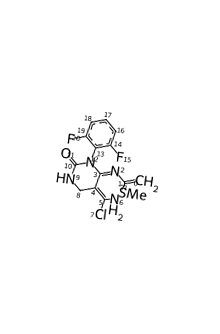 C=C(/N=C1\C(=C(/N)Cl)CNC(=O)N1c1c(F)cccc1F)SC